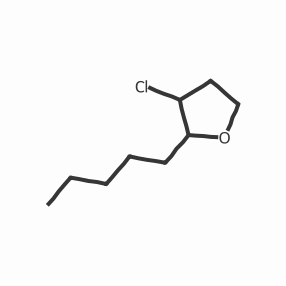 CCCCCC1OCCC1Cl